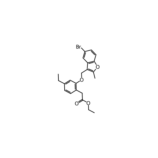 CCOC(=O)Cc1ccc(CC)cc1OCc1c(C)oc2ccc(Br)cc12